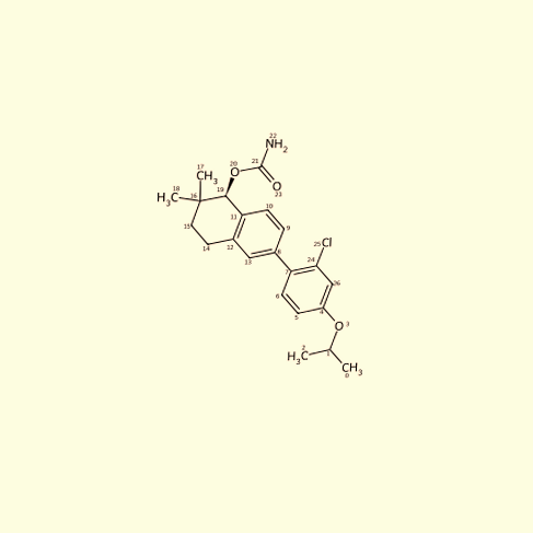 CC(C)Oc1ccc(-c2ccc3c(c2)CCC(C)(C)[C@H]3OC(N)=O)c(Cl)c1